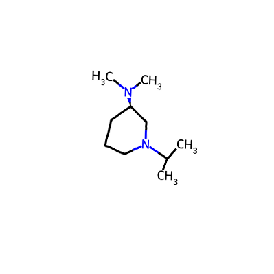 CC(C)N1CCC[C@@H](N(C)C)C1